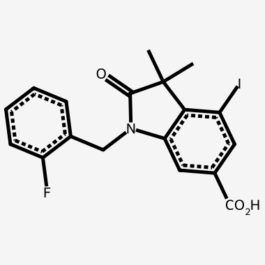 CC1(C)C(=O)N(Cc2ccccc2F)c2cc(C(=O)O)cc(I)c21